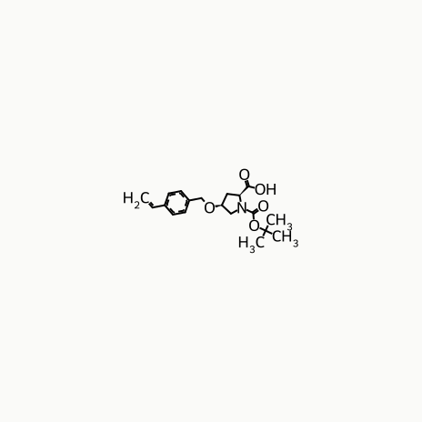 C=Cc1ccc(CO[C@H]2C[C@@H](C(=O)O)N(C(=O)OC(C)(C)C)C2)cc1